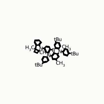 Cc1cc2c3c(c1)N(c1ccc(C(C)(C)C)cc1C)c1ccc(C(C)(C)C)cc1B3c1ccc(N3c4ccccc4C4(C)CCC34C)cc1N2c1ccc(C(C)(C)C)cc1